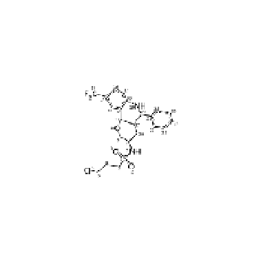 O=S(=O)(CCCCl)NC1COC2c3cc(C(F)(F)F)ccc3NC(c3ccccc3)C2C1